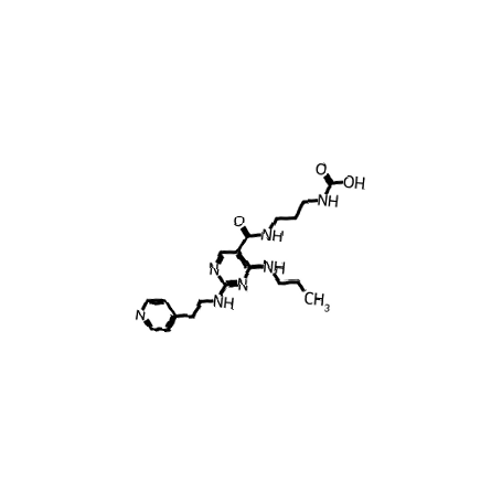 CCCNc1nc(NCCc2ccncc2)ncc1C(=O)NCCCNC(=O)O